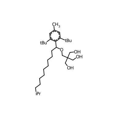 Cc1cc(C(C)(C)C)c(C(CCCCCCCCCC(C)C)OCC(CO)(CO)CO)c(C(C)(C)C)c1